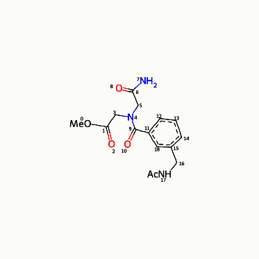 COC(=O)CN(CC(N)=O)C(=O)c1cccc(CNC(C)=O)c1